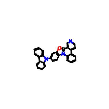 c1ccc2c(c1)-c1ccncc1B1Oc3cc(-n4c5ccccc5c5ccccc54)ccc3N12